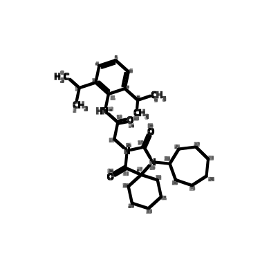 CC(C)c1cccc(C(C)C)c1NC(=O)CN1C(=O)N(C2CCCCCC2)C2(CCCCC2)C1=O